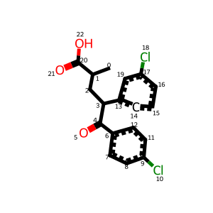 CC(CC(C(=O)c1ccc(Cl)cc1)c1cccc(Cl)c1)C(=O)O